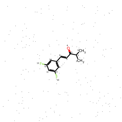 CC(C)C(=O)C=Cc1cc(F)cc(F)c1